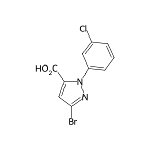 O=C(O)c1cc(Br)nn1-c1cccc(Cl)c1